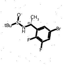 C[C@@H](N[S+]([O-])C(C)(C)C)c1cc(Br)cc(F)c1F